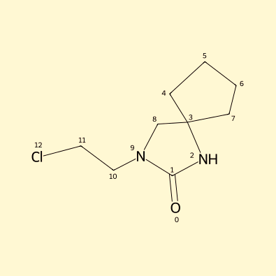 O=C1NC2(CCCC2)CN1CCCl